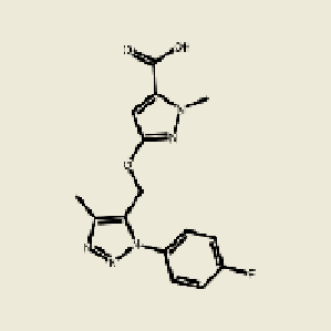 Cc1nnn(-c2ccc(F)cc2)c1COc1cc(C(=O)O)n(C)n1